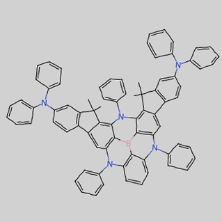 CC1(C)c2cc(N(c3ccccc3)c3ccccc3)ccc2-c2cc3c4c(c21)N(c1ccccc1)c1c2c(cc5c1C(C)(C)c1cc(N(c6ccccc6)c6ccccc6)ccc1-5)N(c1ccccc1)c1cccc(c1B42)N3c1ccccc1